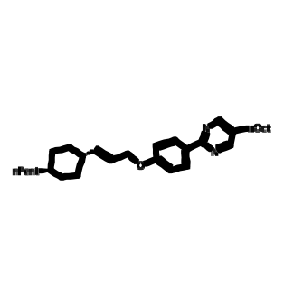 CCCCCCCCc1cnc(-c2ccc(OCC=C[C@H]3CC[C@H](CCCCC)CC3)cc2)nc1